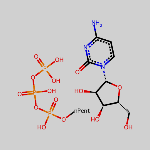 CCCCCOP(=O)(O)OP(=O)(O)OP(=O)(O)O.Nc1ccn([C@@H]2O[C@H](CO)[C@@H](O)[C@H]2O)c(=O)n1